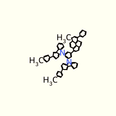 Cc1ccc(-c2ccc3c(c2)c2ccccc2n3-c2cc(-c3ccc4ccc5c6c4c3C=CC6C(C)C=C5c3ccccc3)cc(-n3c4ccccc4c4cc(-c5ccc(C)cc5)ccc43)c2)cc1